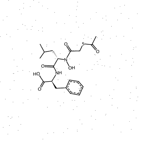 CC(=O)SCC(=O)N(O)[C@@H](CC(C)C)C(=O)N[C@@H](Cc1ccccc1)C(=O)O